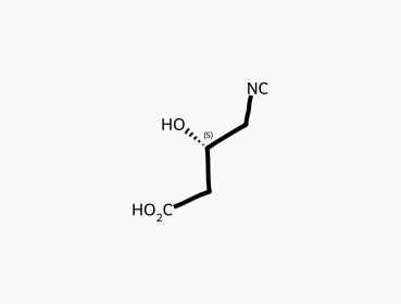 [C-]#[15N+]C[C@@H](O)CC(=O)O